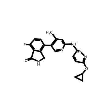 Cc1cc(Nc2ccc(OC3CC3)nn2)ncc1-c1ccc(F)c2c1CNC2=O